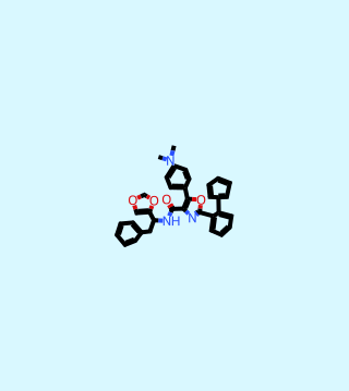 CN(C)c1ccc(-c2oc(-c3ccccc3-c3ccccc3)nc2C(=O)NC(Cc2ccccc2)C2=COCO2)cc1